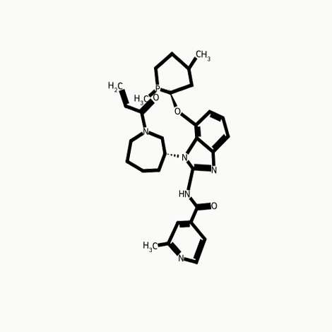 C=CC(=O)N1CCCC[C@@H](n2c(NC(=O)c3ccnc(C)c3)nc3cccc(O[C@@H]4CC(C)CCP4C)c32)C1